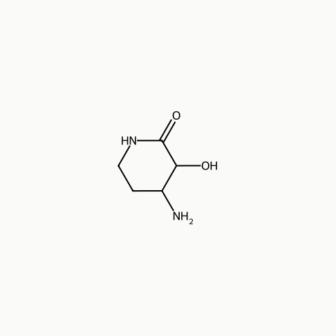 NC1CCNC(=O)C1O